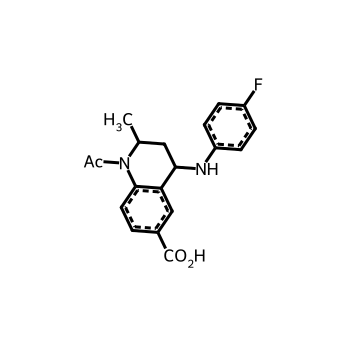 CC(=O)N1c2ccc(C(=O)O)cc2C(Nc2ccc(F)cc2)CC1C